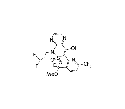 COC(=O)c1ccc(C(F)(F)F)nc1C1=C(O)c2nccnc2N(CCC(F)F)S1(=O)=O